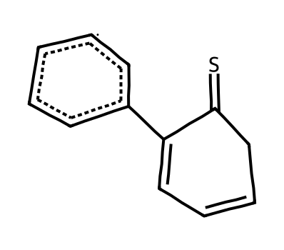 S=C1CC=CC=C1c1c[c]ccc1